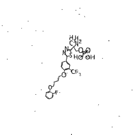 C[C@](N)(COP(=O)(O)O)c1nnc(-c2ccc(OCCCCOc3ccccc3F)c(C(F)(F)F)c2)s1